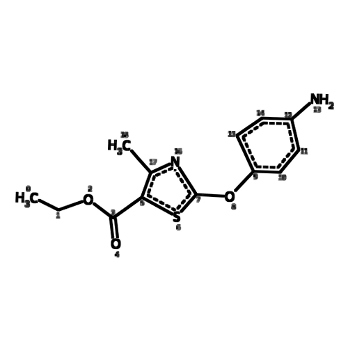 CCOC(=O)c1sc(Oc2ccc(N)cc2)nc1C